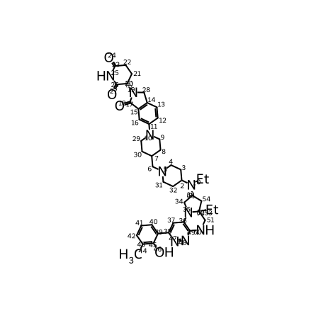 CCN(C1CCN(CC2CCN(c3ccc4c(c3)C(=O)N([C@H]3CCC(=O)NC3=O)C4)CC2)CC1)[C@H]1CN2c3cc(-c4cccc(C)c4O)nnc3NC[C@@]2(CC)C1